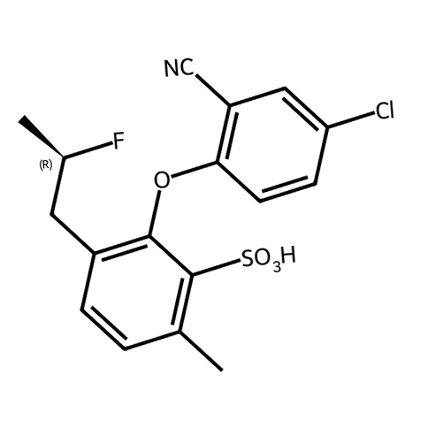 Cc1ccc(C[C@@H](C)F)c(Oc2ccc(Cl)cc2C#N)c1S(=O)(=O)O